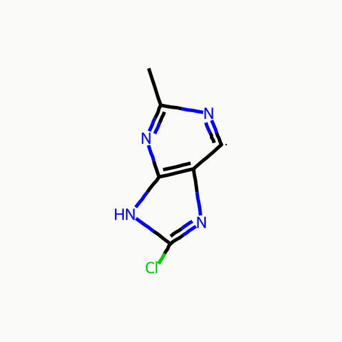 Cc1n[c]c2nc(Cl)[nH]c2n1